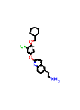 NCCc1ccc2nc(Oc3ccc(OCC4CCCCC4)c(Cl)c3)ccc2c1